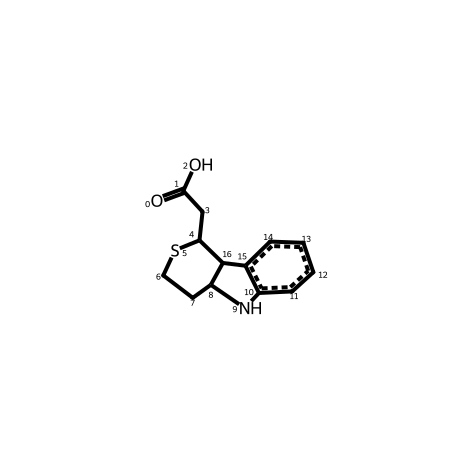 O=C(O)CC1SCCC2Nc3ccccc3C21